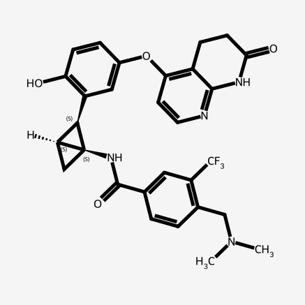 CN(C)Cc1ccc(C(=O)N[C@@]23C[C@H]2[C@H]3c2cc(Oc3ccnc4c3CCC(=O)N4)ccc2O)cc1C(F)(F)F